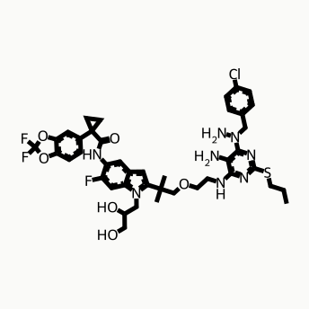 CCCSc1nc(NCCOCC(C)(C)c2cc3cc(NC(=O)C4(c5ccc6c(c5)OC(F)(F)O6)CC4)c(F)cc3n2CC(O)CO)c(N)c(N(N)Cc2ccc(Cl)cc2)n1